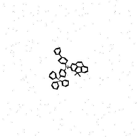 CC1(C)c2cccc3ccc4cc(N(c5ccc(-c6ccccc6)cc5)c5ccc(S(c6ccccc6)(c6ccccc6)c6ccccc6)cc5)cc1c4c23